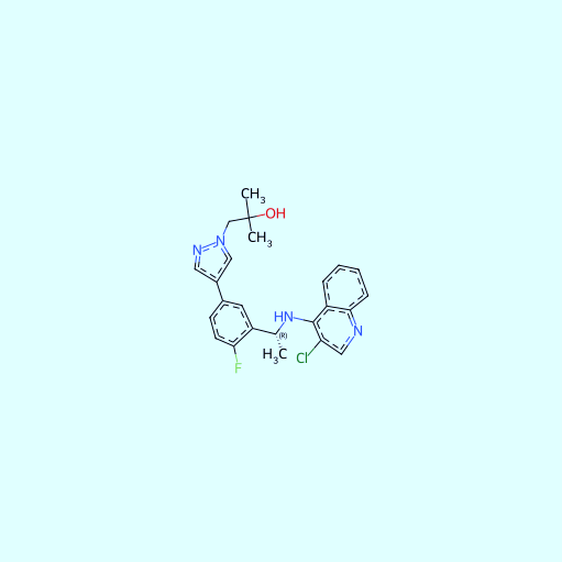 C[C@@H](Nc1c(Cl)cnc2ccccc12)c1cc(-c2cnn(CC(C)(C)O)c2)ccc1F